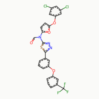 O=CN(c1ccc(Oc2cc(Cl)cc(Cl)c2)o1)c1nnc(-c2cccc(Oc3cccc(C(F)(F)F)c3)c2)s1